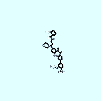 COc1cc(-c2ccc3c(c2)Nc2ccc(C(CCNC(=O)c4ccccc4O)N4CCOCC4)cc2NC3=O)ccc1[N+](=O)[O-]